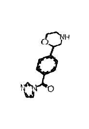 O=C(c1ccc(C2CNCCO2)cc1)n1ccnc1